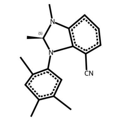 Cc1cc(C)c(N2c3c(C#N)cccc3N(C)[C@@H]2C)cc1C